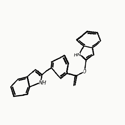 C=C(Oc1cc2ccccc2[nH]1)c1cccc(-c2cc3ccccc3[nH]2)c1